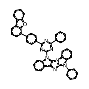 c1ccc(-c2nc(-c3ccc(-c4cccc5c4oc4ccccc45)cc3)nc(-n3c4ccccc4c4nc5n(-c6ccccc6)c6ccccc6n5c43)n2)cc1